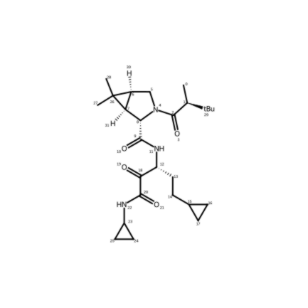 C[C@H](C(=O)N1C[C@H]2[C@@H]([C@H]1C(=O)N[C@H](CCC1CC1)C(=O)C(=O)NC1CC1)C2(C)C)C(C)(C)C